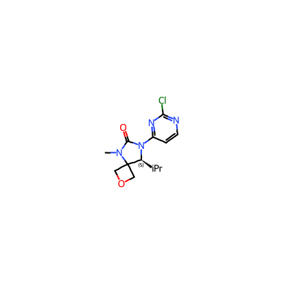 CC(C)[C@@H]1N(c2ccnc(Cl)n2)C(=O)N(C)C12COC2